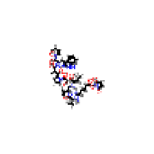 CC[C@H](C)[C@@H]([C@@H](CC(=O)N1CCC[C@H]1[C@H](OC)[C@@H](C)C(=O)N[C@@H](Cc1c[nH]c2ccccc12)C(=O)N1CCCCO1)OC)N(C)C(=O)[C@@H](NC(=O)[C@H](C(C)C)N(C)CCCCCC(=O)ON1C(=O)CCC1=O)C(C)C